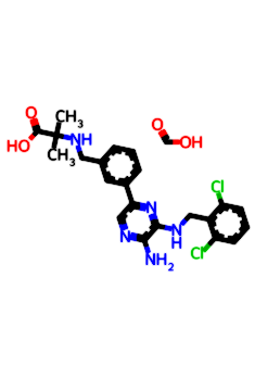 CC(C)(NCc1cccc(-c2cnc(N)c(NCc3c(Cl)cccc3Cl)n2)c1)C(=O)O.O=CO